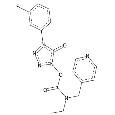 CCN(Cc1ccncc1)C(=O)On1nnn(-c2cccc(F)c2)c1=O